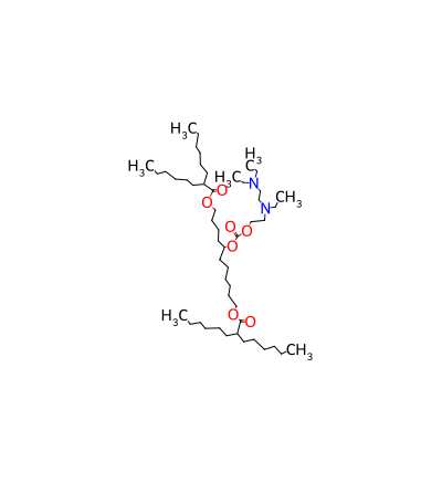 CCCCCCC(CCCCCC)C(=O)OCCCCCCC(CCCCOC(=O)C(CCCCCC)CCCCCC)OC(=O)OCCN(CC)CCN(CC)CC